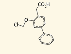 O=C(O)Cc1ccc(-c2ccccc2)cc1OCCl